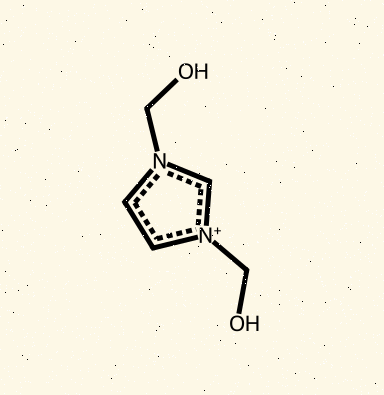 OCn1cc[n+](CO)c1